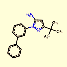 CC(C)(C)c1cc(N)n(-c2cccc(-c3ccccc3)c2)n1